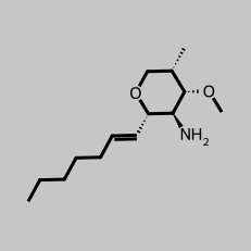 CCCCCC=C[C@@H]1OC[C@H](C)[C@H](OC)[C@H]1N